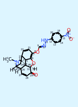 CN1CC[C@@]23C4C5=C(OC=NNc6ccc([N+](=O)[O-])cc6)C=CC4C[C@@H]1[C@@H]2C=CC(=O)[C@@H]3O5